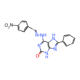 O=c1nc(N/N=C/c2ccc([N+](=O)[O-])cc2)c2[nH]c(-c3ccccc3)nc2[nH]1